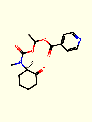 CC(OC(=O)c1ccncc1)OC(=O)N(C)[C@]1(C)CCCCC1=O